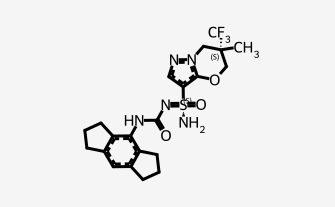 C[C@@]1(C(F)(F)F)COc2c([S@@](N)(=O)=NC(=O)Nc3c4c(cc5c3CCC5)CCC4)cnn2C1